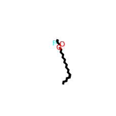 C=C(F)C(=O)OCCCCCCCCCC/C=C\CCCC